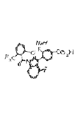 O=C(O)c1ccc(-c2nn(C(=O)c3c(Cl)cccc3C(F)(F)F)c3cccc(F)c23)c(F)c1.[NaH]